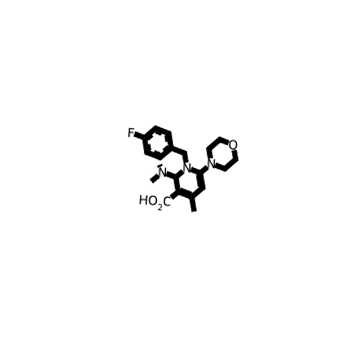 CC1=C(C(=O)O)C(N(C)C)N(Cc2ccc(F)cc2)C(N2CCOCC2)=C1